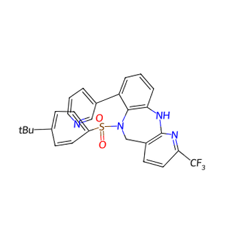 CC(C)(C)c1ccc(S(=O)(=O)N2Cc3ccc(C(F)(F)F)nc3Nc3cccc(-c4cccnc4)c32)cc1